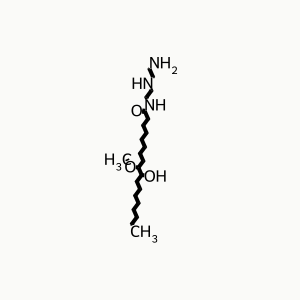 CCCCCCCCC(O)C(CCCCCCCC(=O)NCCNCCN)OC